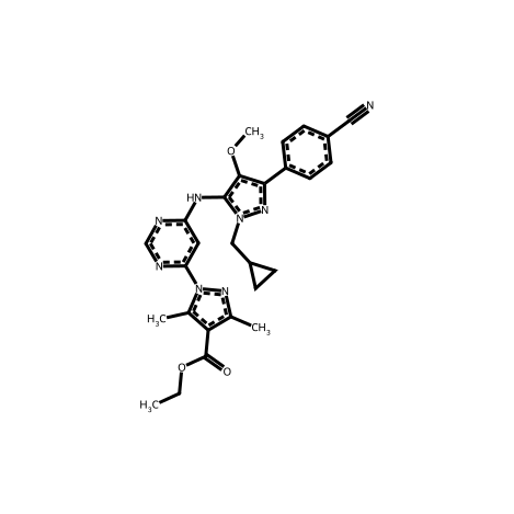 CCOC(=O)c1c(C)nn(-c2cc(Nc3c(OC)c(-c4ccc(C#N)cc4)nn3CC3CC3)ncn2)c1C